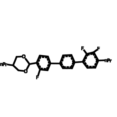 CCCc1ccc(-c2ccc(-c3ccc(C4OCC(CCC)CO4)c(F)c3)cc2)c(F)c1F